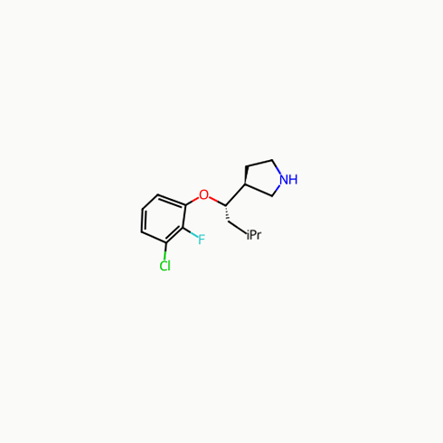 CC(C)C[C@H](Oc1cccc(Cl)c1F)[C@H]1CCNC1